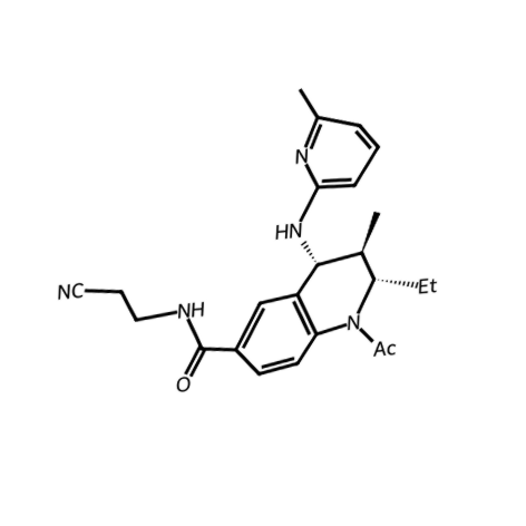 CC[C@H]1[C@H](C)[C@@H](Nc2cccc(C)n2)c2cc(C(=O)NCCC#N)ccc2N1C(C)=O